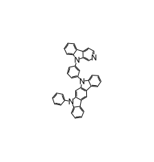 c1ccc(-n2c3ccccc3c3cc4c5ccccc5n(-c5cccc(-n6c7ccccc7c7ccncc76)c5)c4cc32)cc1